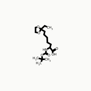 CCC1(CCCCCC(NC(=O)OC(C)(C)C)C(=O)O)OCCO1